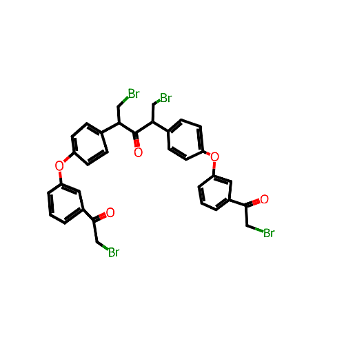 O=C(CBr)c1cccc(Oc2ccc(C(CBr)C(=O)C(CBr)c3ccc(Oc4cccc(C(=O)CBr)c4)cc3)cc2)c1